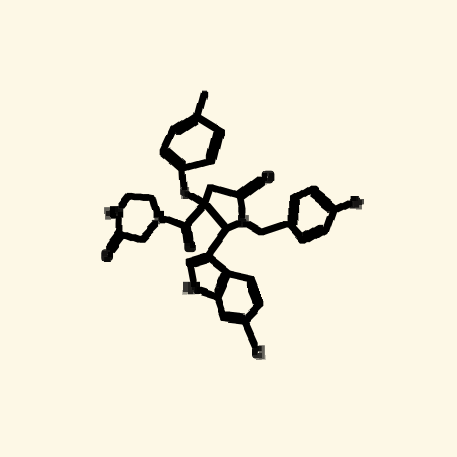 Cc1ccc(SC2(C(=O)N3CCNC(=O)C3)CC(=O)N(Cc3ccc(Br)cc3)C2c2c[nH]c3cc(Cl)ccc23)cc1